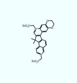 CCOC(=O)C[n+]1ccc2c3c(ccc2c1)-c1c(c[n+](CC(=O)OCC)c2cc4c(cc12)OCCO4)C3(C)C